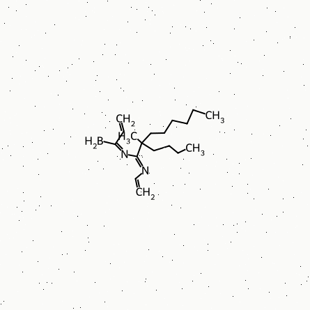 B/C(C=C)=N/C(=N\C=C)C(C)(CCCC)CCCCCC